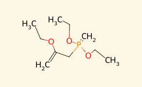 C=C(CP(=C)(OCC)OCC)OCC